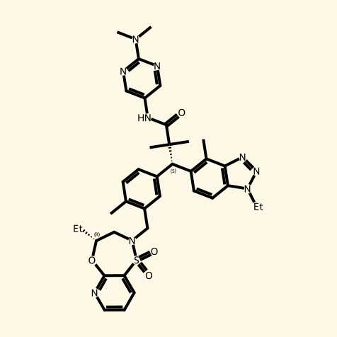 CC[C@@H]1CN(Cc2cc([C@@H](c3ccc4c(nnn4CC)c3C)C(C)(C)C(=O)Nc3cnc(N(C)C)nc3)ccc2C)S(=O)(=O)c2cccnc2O1